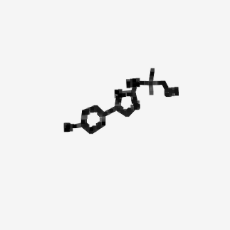 CC(C)(CO)Nc1nc(-c2ccc(Br)cc2)cs1